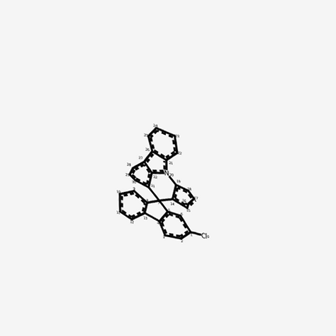 Clc1ccc2c(c1)C1(c3ccccc3-2)c2ccccc2-n2c3ccccc3c3cccc1c32